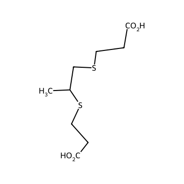 CC(CSCCC(=O)O)SCCC(=O)O